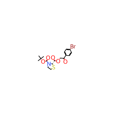 CC(C)(C)OC(=O)N1CCS[C@H]1C(=O)OCC(=O)c1ccc(Br)cc1